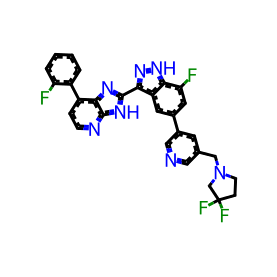 Fc1ccccc1-c1ccnc2[nH]c(-c3n[nH]c4c(F)cc(-c5cncc(CN6CCC(F)(F)C6)c5)cc34)nc12